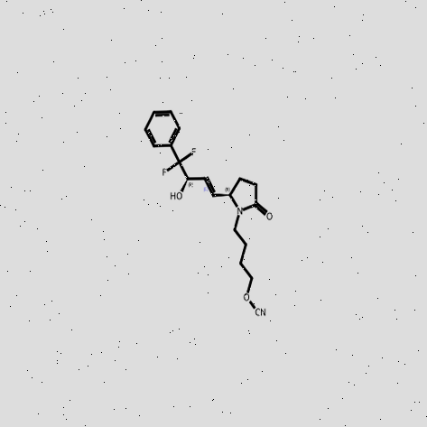 N#COCCCCN1C(=O)CC[C@@H]1/C=C/[C@@H](O)C(F)(F)c1ccccc1